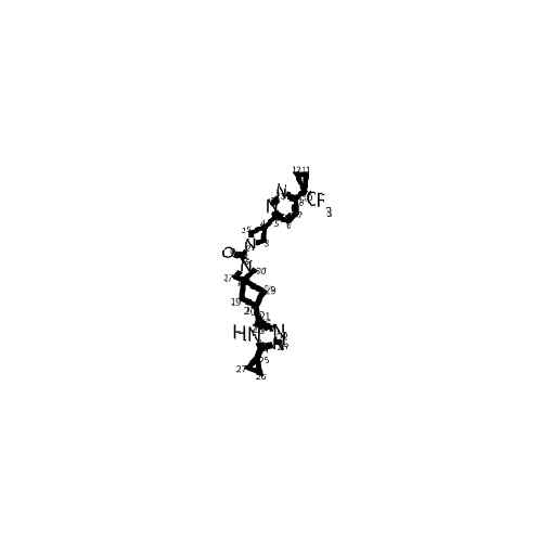 O=C(N1CC(c2ccc(C3(C(F)(F)F)CC3)nn2)C1)N1CC2(CC(c3nnc(C4CC4)[nH]3)C2)C1